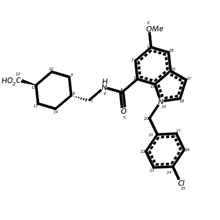 COc1cc(C(=O)NC[C@H]2CC[C@H](C(=O)O)CC2)c2c(ccn2Cc2ccc(Cl)cc2)c1